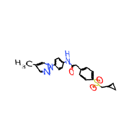 Cc1cnn(-c2ccc(NC(=O)Cc3ccc(S(=O)(=O)CC4CC4)cc3)cc2)c1